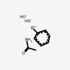 CC(N)=O.[B+2]c1ccccc1.[OH-].[OH-]